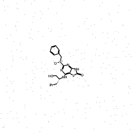 CC(C)C[C@H](CO)Nc1nc([S@@+]([O-])Cc2ccccc2)nc2[nH]c(=O)sc12